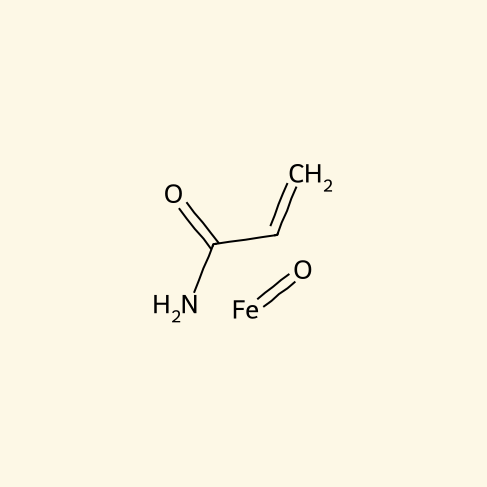 C=CC(N)=O.[O]=[Fe]